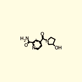 NC(=O)c1[c]c(C(=O)N2CCC(O)C2)ccn1